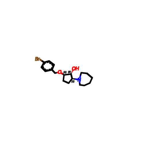 O[C@H]1[C@H](OCc2ccc(Br)cc2)CC[C@@H]1N1CCCCCC1